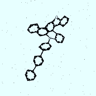 c1ccc(-c2ccc(-c3ccc(N(c4ccc5ccccc5c4)c4ccccc4-c4cccc5oc6ccccc6c45)cc3)cc2)cc1